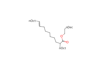 CCCCCCCCC=CCCCCCCC(CCCCCCCC)C(=O)OCCCCCCCCCCCC